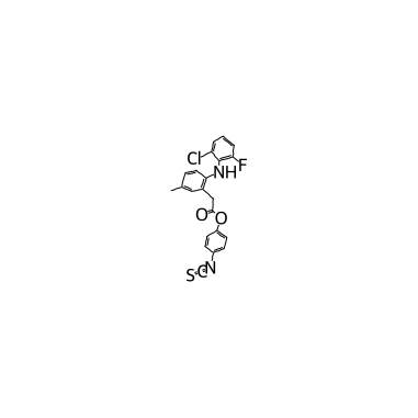 Cc1ccc(Nc2c(F)cccc2Cl)c(CC(=O)Oc2ccc(N=C=S)cc2)c1